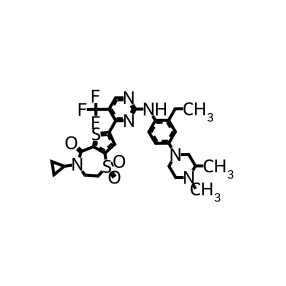 CCc1cc(N2CCN(C)C(C)C2)ccc1Nc1ncc(C(F)(F)F)c(-c2cc3c(s2)C(=O)N(C2CC2)CCS3(=O)=O)n1